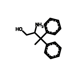 CC(c1ccccc1)(c1ccccc1)C(N)CO